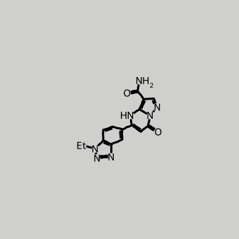 CCn1nnc2cc(-c3cc(=O)n4ncc(C(N)=O)c4[nH]3)ccc21